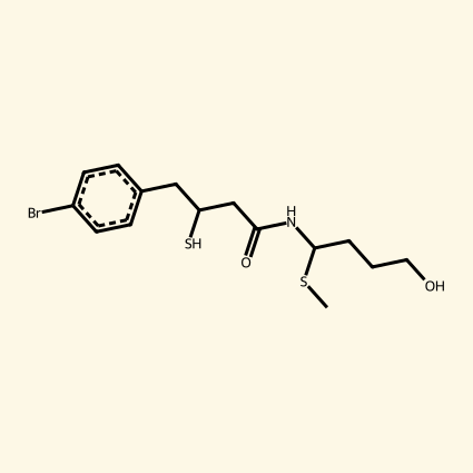 CSC(CCCO)NC(=O)CC(S)Cc1ccc(Br)cc1